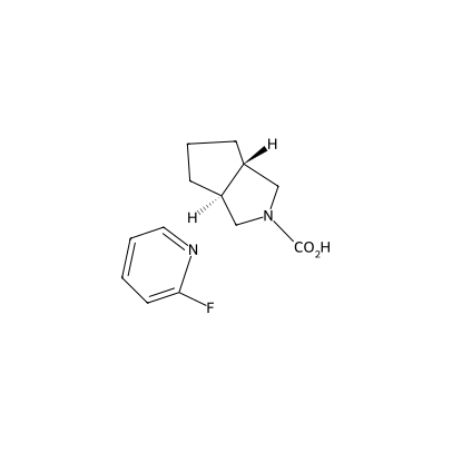 Fc1ccccn1.O=C(O)N1C[C@H]2CCC[C@@H]2C1